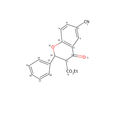 CCOC(=O)C1C(=O)c2cc(C#N)ccc2OC1c1ccccc1